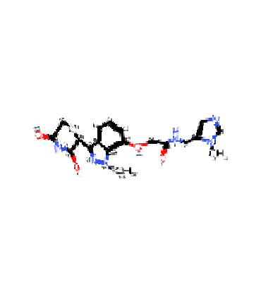 Cn1cncc1CNC(=O)COc1cccc2c(C3CCC(=O)NC3=O)nn(C)c12